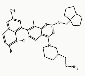 NSCC1CCCN(c2nc(OCC34CCCN3CCC4)nc3c(F)c(-c4cc(O)cc5ccc(F)c(Cl)c45)ncc23)C1